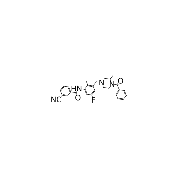 Cc1c(CN2CCN(C(=O)c3ccccc3)C(C)C2)cc(F)cc1NC(=O)c1cccc(C#N)c1